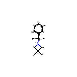 CC1(C)CN(C(C)(C)c2ccccc2)C1